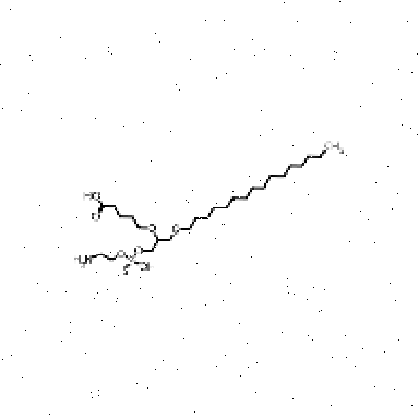 CCCCCCCCCCCCCCCCOCC(COP(O)(=S)OCCN)OCCCCC(=O)O